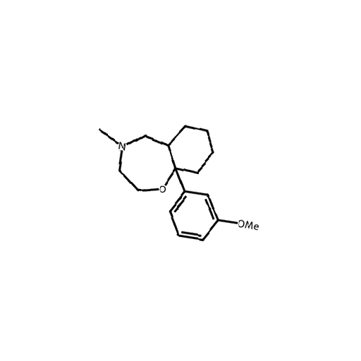 COc1cccc(C23CCCCC2CN(C)CCO3)c1